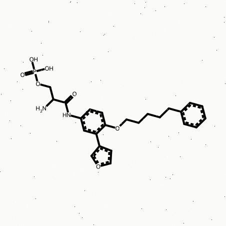 NC(COP(=O)(O)O)C(=O)Nc1ccc(OCCCCCc2ccccc2)c(-c2ccoc2)c1